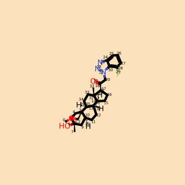 COC[C@]12CC[C@@](C)(O)C[C@@H]1CC[C@H]1[C@@H]3CC[C@H](C(=O)Cn4nnc5cccc(F)c54)[C@@]3(C)CC[C@@H]12